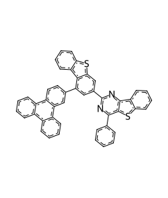 c1ccc(-c2nc(-c3cc(-c4ccc5c6ccccc6c6ccccc6c5c4)c4c(c3)sc3ccccc34)nc3c2sc2ccccc23)cc1